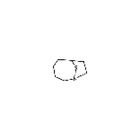 [CH]1CCCN2CCC1S2